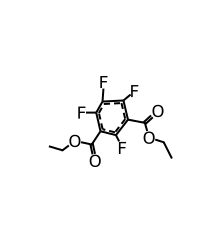 CCOC(=O)c1c(F)c(F)c(F)c(C(=O)OCC)c1F